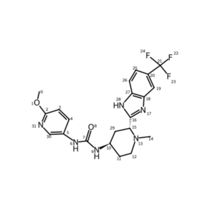 COc1ccc(NC(=O)N[C@@H]2CCN(C)[C@@H](c3nc4cc(C(F)(F)F)ccc4[nH]3)C2)cn1